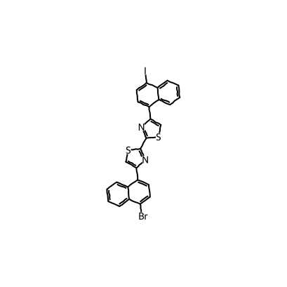 Brc1ccc(-c2csc(-c3nc(-c4ccc(I)c5ccccc45)cs3)n2)c2ccccc12